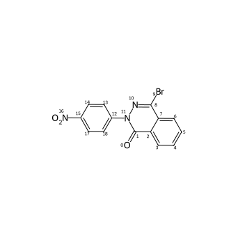 O=c1c2ccccc2c(Br)nn1-c1ccc([N+](=O)[O-])cc1